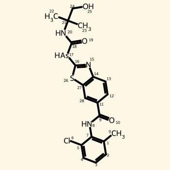 Cc1cccc(Cl)c1NC(=O)c1ccc2nc([AsH]C(=O)NC(C)(C)CO)sc2c1